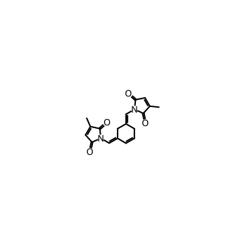 CC1=CC(=O)N(C=C2C=CCC(=CN3C(=O)C=C(C)C3=O)C2)C1=O